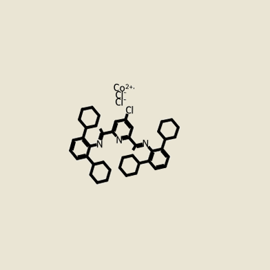 CC(=Nc1c(C2CCCCC2)cccc1C1CCCCC1)c1cc(Cl)cc(C(C)=Nc2c(C3CCCCC3)cccc2C2CCCCC2)n1.[Cl-].[Cl-].[Co+2]